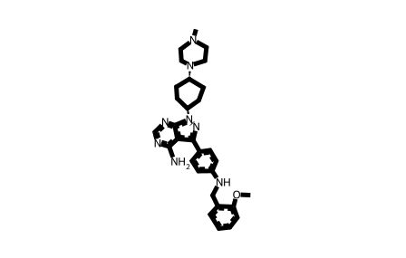 COc1ccccc1CNc1ccc(-c2nn([C@H]3CC[C@@H](N4CCN(C)CC4)CC3)c3ncnc(N)c23)cc1